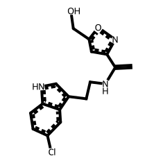 C=C(NCCc1c[nH]c2ccc(Cl)cc12)c1cc(CO)on1